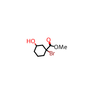 COC(=O)C1(Br)CCCC(O)C1